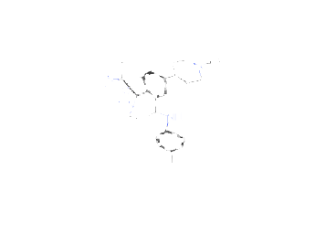 C/C(N)=C1/NCCC(Nc2ccc(CO)cc2)c2cc(C3=CCN(C)CC3)ccc21